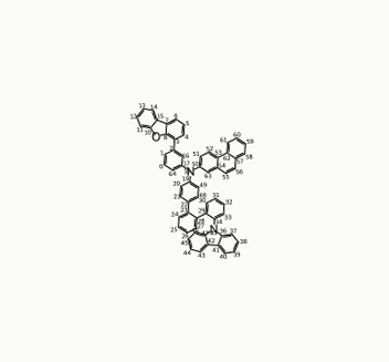 c1cc(-c2cccc3c2oc2ccccc23)cc(N(c2ccc(-c3ccccc3-c3ccccc3-n3c4ccccc4c4ccccc43)cc2)c2ccc3c(ccc4ccccc43)c2)c1